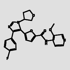 COc1cnccc1NC(=O)c1ccc(-c2c(-c3ccc(F)cc3)ncn2C2CCOC2)o1